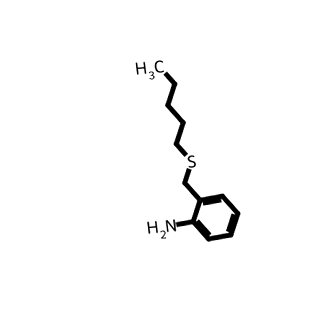 CCCCCSCc1ccccc1N